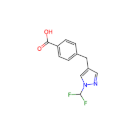 O=C(O)c1ccc(Cc2cnn(C(F)F)c2)cc1